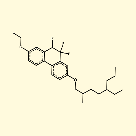 CCCC(CC)CCC(C)COc1ccc2c(c1)C(F)(F)C(F)c1cc(OCC)ccc1-2